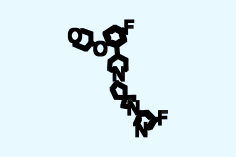 Fc1cncc(N2CC3(CC[C@H](N4CCC(c5cc(F)ccc5OC5CCOCC5)CC4)C3)C2)c1